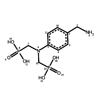 NCc1ccc(N(CP(=O)(O)O)CP(=O)(O)O)cc1